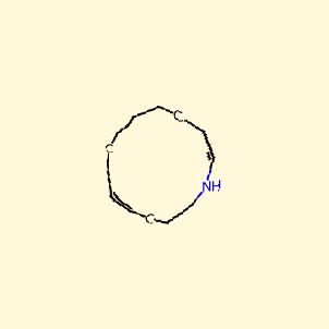 C1=CCCCNC=CCCCCCCC1